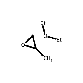 CC1CO1.CCOCC